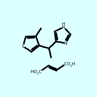 Cc1cscc1C(C)c1c[nH]cn1.O=C(O)C=CC(=O)O